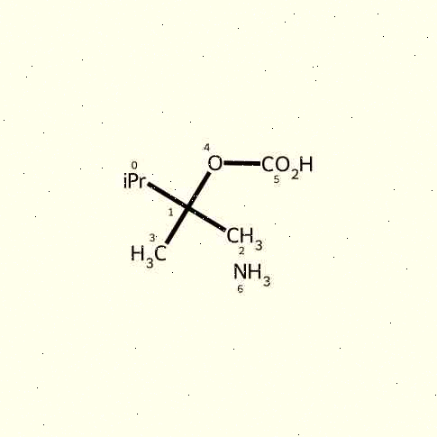 CC(C)C(C)(C)OC(=O)O.N